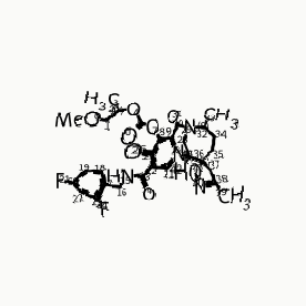 COC[C@@H](C)OC(=O)Oc1c2n(cc(C(=O)NCc3ccc(F)cc3F)c1=O)[C@@H]1CN(C2=O)[C@@H](C)CC[C@]12CC(C)=NO2